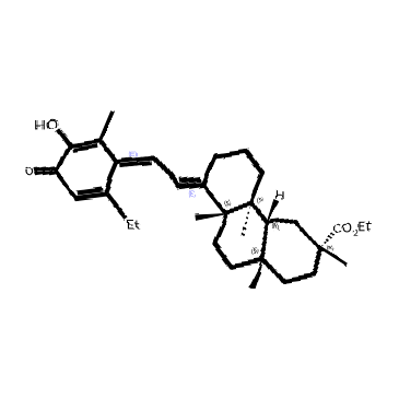 CCOC(=O)[C@]1(C)CC[C@]2(C)CC[C@]3(C)/C(=C/C=C4\C(CC)=CC(=O)C(O)=C4C)CCC[C@@]3(C)[C@@H]2C1